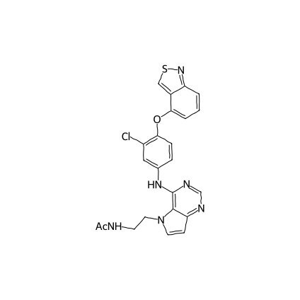 CC(=O)NCCn1ccc2ncnc(Nc3ccc(Oc4cccc5nscc45)c(Cl)c3)c21